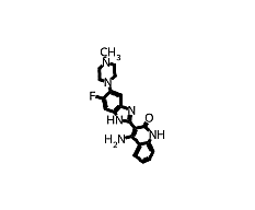 CN1CCN(c2cc3nc(-c4c(N)c5ccccc5[nH]c4=O)[nH]c3cc2F)CC1